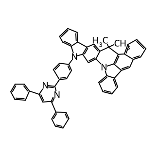 CC1(C)c2cc3c4ccccc4n(-c4ccc(-c5nc(-c6ccccc6)cc(-c6ccccc6)n5)cc4)c3cc2-n2c3ccccc3c3cc4ccccc4c1c32